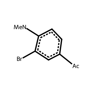 CNc1ccc(C(C)=O)cc1Br